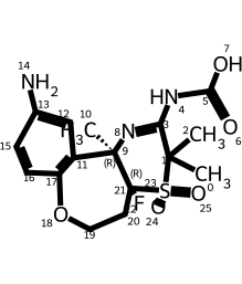 CC1(C)C(NC(=O)O)=N[C@]2(C)c3cc(N)ccc3OCC[C@@]2(F)S1(=O)=O